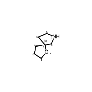 [CH]1CO[C@]2(C1)CCNC2